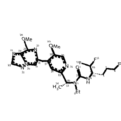 CCN(C(=O)N[C@@H](CCCF)C(F)F)[C@H](C)c1cc(-c2cn3ncnc3c(OC)n2)c(OC)cn1